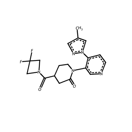 Cc1cnn(-c2ccncc2N2CCC(C(=O)N3CC(F)(F)C3)CC2=O)c1